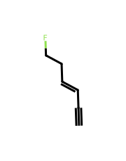 C#CC=CCCF